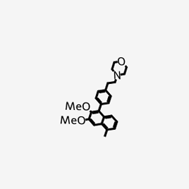 COc1cc2c(C)cccc2c(-c2ccc(CCN3CCOCC3)cc2)c1OC